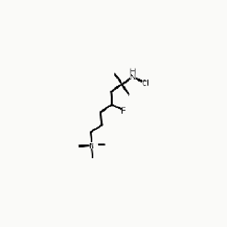 CC(C)(CC(F)CCC[N+](C)(C)C)NCl